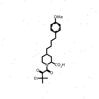 CCC(C)(C)C(=O)C(=O)N1CCC(CCCCc2ccc(OC)cc2)CC1C(=O)O